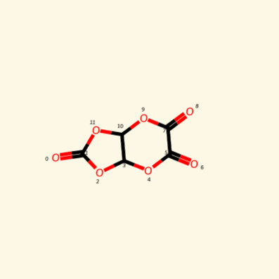 O=C1OC2OC(=O)C(=O)OC2O1